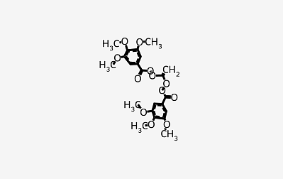 C=C(OOC(=O)c1cc(OC)c(OC)c(OC)c1)OOC(=O)c1cc(OC)c(OC)c(OC)c1